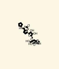 O=P(O)(O)C(CO)(Cc1nn[nH]n1)OC[C@H]1O[C@H](c2ccc3c(NC4CCCC4)nc(Cl)nn23)[C@H](O)[C@@H]1O